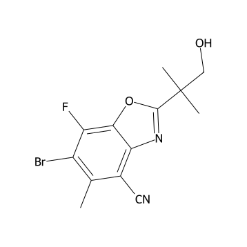 Cc1c(Br)c(F)c2oc(C(C)(C)CO)nc2c1C#N